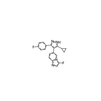 Fc1ccc(-c2n[nH]c(C3CC3)c2-c2ccc3ncc(F)n3c2)cc1